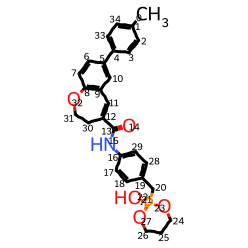 Cc1ccc(-c2ccc3c(c2)C=C(C(=O)Nc2ccc(C[P]4(O)OCCCO4)cc2)CCO3)cc1